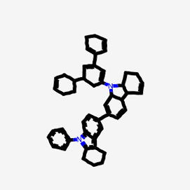 C1=CC(C2=CC(C3CC=CCC3)CC(N3C4C=C(c5ccc6c(c5)c5c(n6-c6ccccc6)CCCC5)C=CC4C4C=CCCC43)=C2)=CCC1